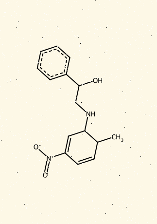 CC1C=CC([N+](=O)[O-])=CC1NCC(O)c1ccccc1